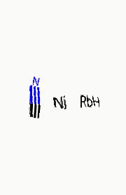 C#N.[Ni].[RbH]